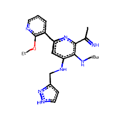 CCOc1ncccc1-c1cc(NCc2cc[nH]n2)c(NC(C)CC)c(C(C)=N)n1